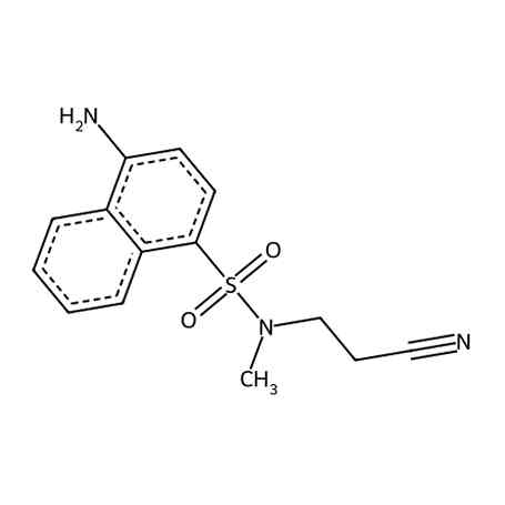 CN(CCC#N)S(=O)(=O)c1ccc(N)c2ccccc12